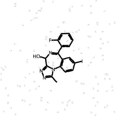 Cc1nnc2n1-c1ccc(I)cc1C(c1ccccc1F)=NC2O